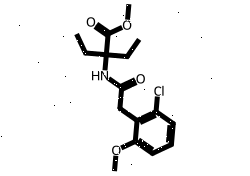 CCC(CC)(NC(=O)Cc1c(Cl)cccc1OC)C(=O)OC